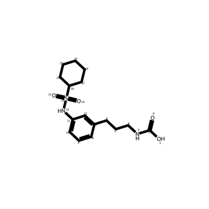 O=C(O)NCCCc1cccc(NS(=O)(=O)C2CCCCC2)c1